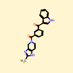 Cc1nc2c([nH]1)C=CN(C(=O)c1cccc(C(=O)c3c[nH]c4ccccc34)c1)C2